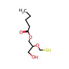 CCCCC(=O)OCC(CO)OCS